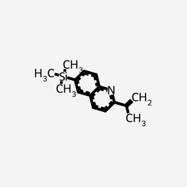 C=C(C)c1ccc2cc([Si](C)(C)C)ccc2n1